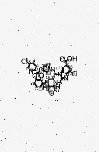 C[C@]1(c2ccc(Cl)cn2)Oc2cccc(N3CCN(Cc4nc5c(Cl)cc(C(=O)O)cc5n4CCn4cccn4)[C@H]4COC[C@H]43)c2O1